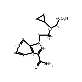 NC(=O)c1nn(CC(=O)N(CC(=O)O)C2CC2)c2cnccc12